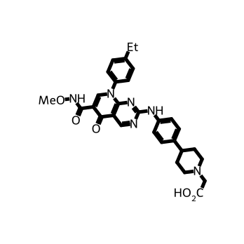 CCc1ccc(-n2cc(C(=O)NOC)c(=O)c3cnc(Nc4ccc(C5CCN(CC(=O)O)CC5)cc4)nc32)cc1